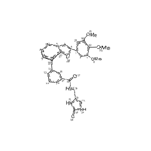 COc1cc(-c2cc3nccc(-c4cccc(C(=O)NCc5n[nH]c(=O)[nH]5)c4)c3o2)cc(OC)c1OC